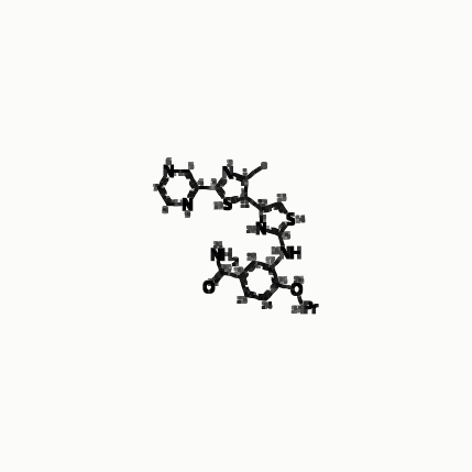 Cc1nc(-c2cnccn2)sc1-c1csc(Nc2cc(C(N)=O)ccc2OC(C)C)n1